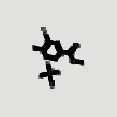 COC(=O)c1ccc(C)c(F)c1.C[Si](C)(C)Cl